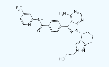 Nc1ncnc2c1c(-c1ccc(C(=O)Nc3cc(C(F)(F)F)ccn3)cc1)nn2[C@@H]1CCCc2nn(CCO)cc21